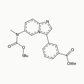 COC(=O)c1cccc(-c2cnc3ccc(N(C)C(=O)OC(C)(C)C)cn23)c1